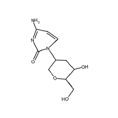 Nc1ccn(C2COC(CO)C(O)C2)c(=O)n1